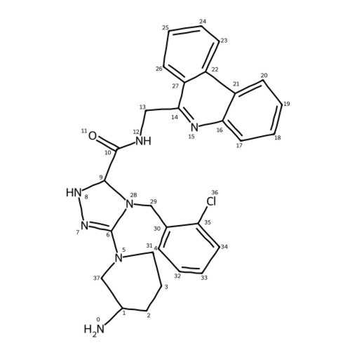 NC1CCCN(C2=NNC(C(=O)NCc3nc4ccccc4c4ccccc34)N2Cc2ccccc2Cl)C1